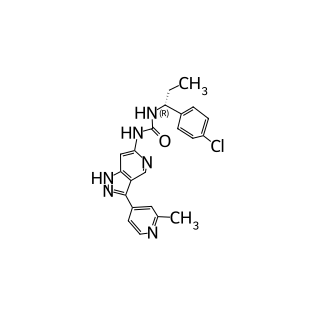 CC[C@@H](NC(=O)Nc1cc2[nH]nc(-c3ccnc(C)c3)c2cn1)c1ccc(Cl)cc1